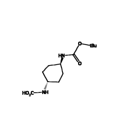 CC(C)(C)OC(=O)N[C@H]1CC[C@H](NC(=O)O)CC1